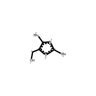 CC(C)(C)c1nc(C(C)(C)C)c(CO)s1